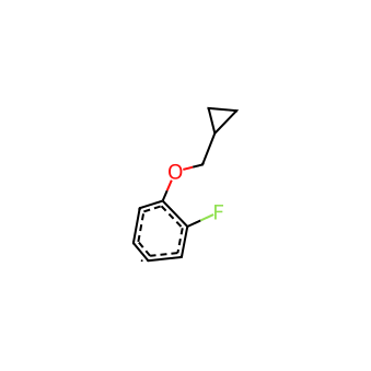 Fc1c[c]ccc1OCC1CC1